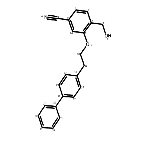 N#Cc1ccc(CO)c(OCCc2ccc(-c3ccccc3)cc2)c1